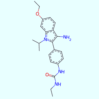 CCNC(=O)Nc1ccc(-c2c(N)c3ccc(OCC)cc3n2C(C)C)cc1